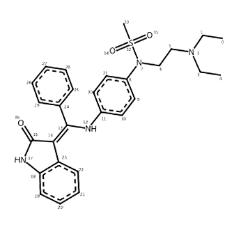 CCN(CC)CCN(c1ccc(NC(=C2C(=O)Nc3ccccc32)c2ccccc2)cc1)S(C)(=O)=O